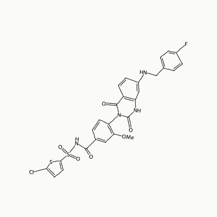 COc1cc(C(=O)NS(=O)(=O)c2ccc(Cl)s2)ccc1-n1c(=O)[nH]c2cc(NCc3ccc(F)cc3)ccc2c1=O